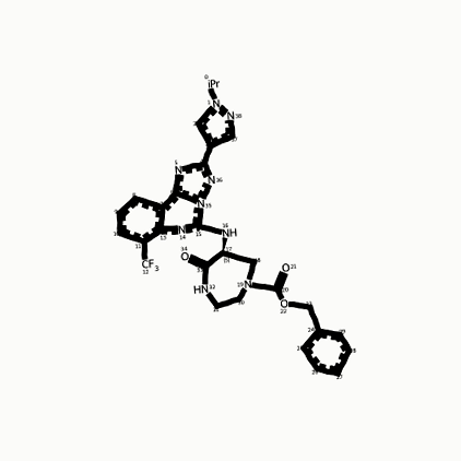 CC(C)n1cc(-c2nc3c4cccc(C(F)(F)F)c4nc(N[C@H]4CN(C(=O)OCc5ccccc5)CCNC4=O)n3n2)cn1